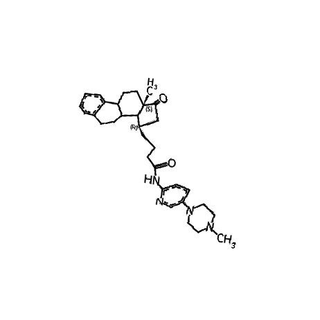 CN1CCN(c2ccc(NC(=O)CCC[C@@H]3CC(=O)[C@@]4(C)CCC5c6ccccc6CCC5C34)nc2)CC1